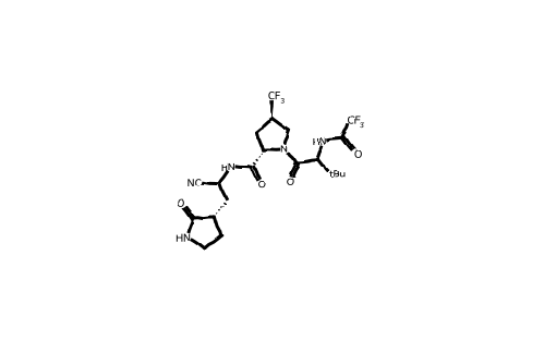 CC(C)(C)C(NC(=O)C(F)(F)F)C(=O)N1C[C@H](C(F)(F)F)C[C@H]1C(=O)NC(C#N)C[C@@H]1CCNC1=O